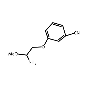 COC(N)COc1cccc(C#N)c1